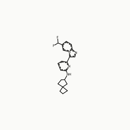 FC(F)c1ccc2ncc(-c3cccc(NC4CCC5(CCC5)C4)n3)n2c1